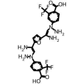 N/C(=C\N(N)c1ccc(C(=O)O)c(C(F)(F)F)c1)c1ccc(/C(N)=C/N(N)c2ccc(C(=O)O)c(C(F)(F)F)c2)o1